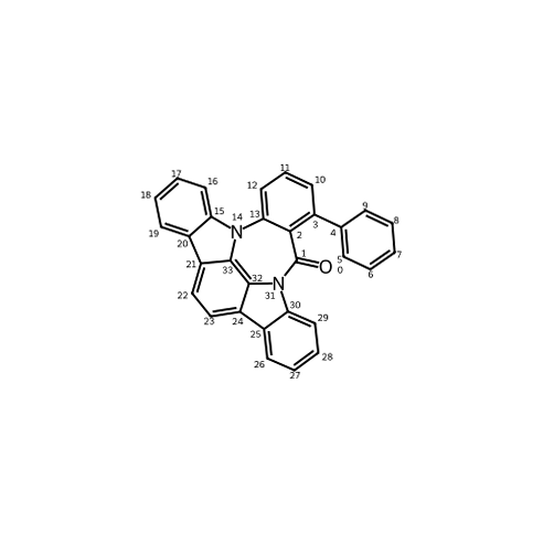 O=c1c2c(-c3ccccc3)cccc2n2c3ccccc3c3ccc4c5ccccc5n1c4c32